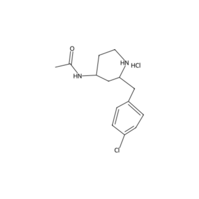 CC(=O)NC1CCNC(Cc2ccc(Cl)cc2)C1.Cl